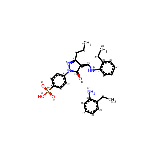 CCCC1=NN(c2ccc(S(=O)(=O)O)cc2)C(=O)C1=CNc1ccccc1CC.CCc1ccccc1N